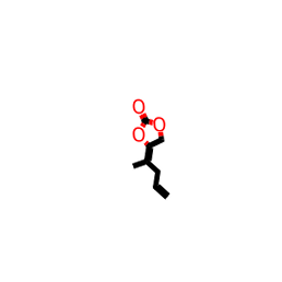 C=CC/C(C)=C1\COC(=O)O1